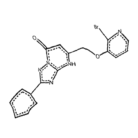 O=c1cc(COc2cccnc2Br)[nH]c2nc(-c3ccccc3)nn12